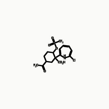 O=C(C1CCC(OS(=O)(=O)C(F)(F)F)C(C(=O)O)(C2=CC=CC=C(Cl)N2)C1)C(F)(F)F